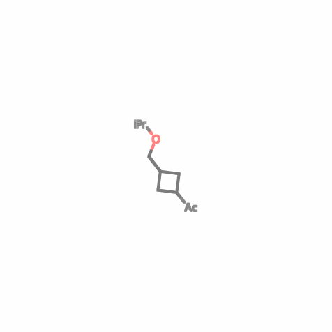 CC(=O)C1CC(COC(C)C)C1